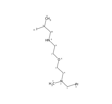 CC(C)CN(C)CCOCCNCC(C)I